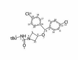 CC(C)(C)NC(=O)N1CC(OC(c2ccc(Cl)cc2)c2ccc(Cl)cc2)C1